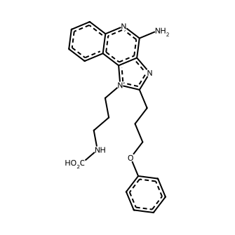 Nc1nc2ccccc2c2c1nc(CCCOc1ccccc1)n2CCCNC(=O)O